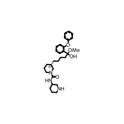 COC(O)(CCCC[C@@H]1CCCN(C(=O)NC2CCCNC2)C1)c1ccccc1Oc1ccccc1